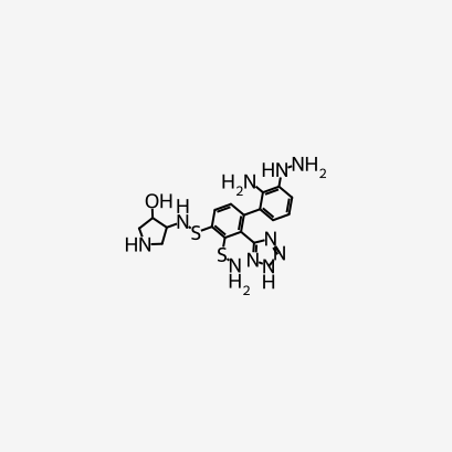 NNc1cccc(-c2ccc(SNC3CNCC3O)c(SN)c2-c2nn[nH]n2)c1N